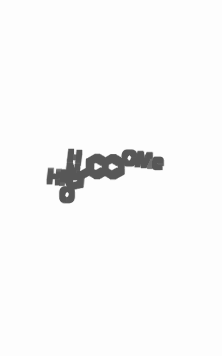 COc1ccc2cc(C3CC(=O)NN3)ccc2c1